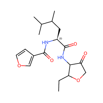 CCC1OCC(=O)C1NC(=O)[C@H](CC(C)C(C)C)NC(=O)c1ccoc1